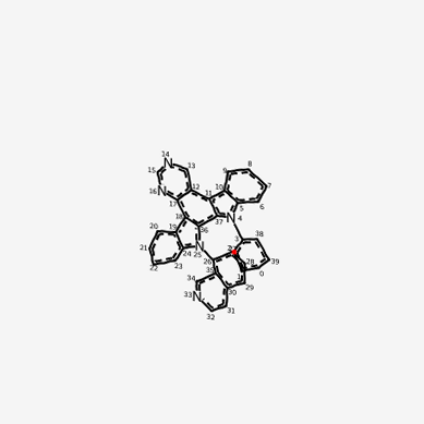 c1ccc(-n2c3ccccc3c3c4cncnc4c4c5ccccc5n(-c5cccc6ccncc56)c4c32)cc1